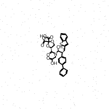 C[C@@H]([C@@H](Cc1cc2ccccc2s1)c1ccc(-c2ccccc2)cc1)N(CC(=O)O)C(=O)[C@@H]1COC(C(=O)O)(C(=O)O)O1